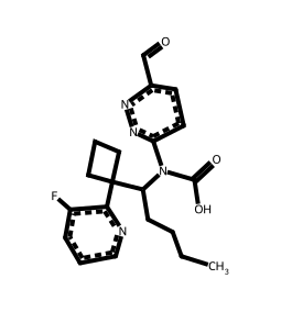 CCCCC(N(C(=O)O)c1ccc(C=O)nn1)C1(c2ncccc2F)CCC1